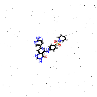 Nc1ccc(-c2cc3nc[nH]c(=O)c3c(Nc3ccc(S(=O)(=O)N4CCCCC4)cc3)n2)cn1